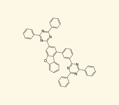 c1ccc(-c2nc(-c3ccccc3)nc(-c3cccc(-c4cc(-c5nc(-c6ccccc6)nc(-c6ccccc6)n5)cc5oc6ccccc6c45)c3)n2)cc1